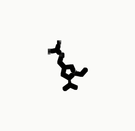 CCN1CC(COC(F)F)C[C@H]1C(C)C